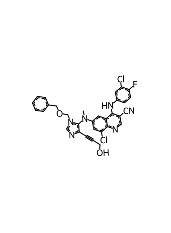 CN(c1cc(Cl)c2ncc(C#N)c(Nc3ccc(F)c(Cl)c3)c2c1)c1c(C#CCO)ncn1COCc1ccccc1